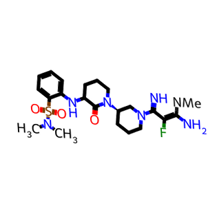 CN/C(N)=C(/F)C(=N)N1CCC[C@@H](N2CCCC(Nc3ccccc3S(=O)(=O)N(C)C)C2=O)C1